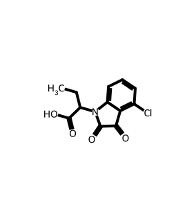 CCC(C(=O)O)N1C(=O)C(=O)c2c(Cl)cccc21